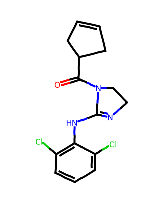 O=C(C1CC=CC1)N1CCN=C1Nc1c(Cl)cccc1Cl